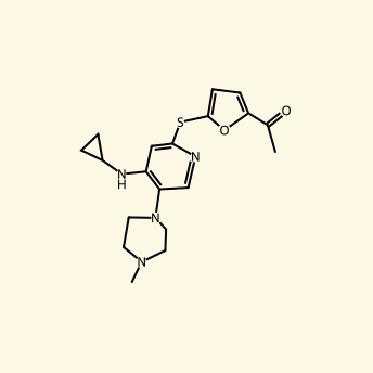 CC(=O)c1ccc(Sc2cc(NC3CC3)c(N3CCN(C)CC3)cn2)o1